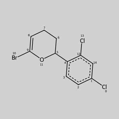 Clc1ccc(C2CCC=C(Br)O2)c(Cl)c1